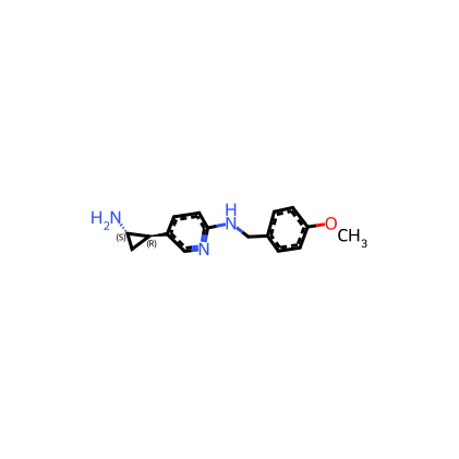 COc1ccc(CNc2ccc([C@H]3C[C@@H]3N)cn2)cc1